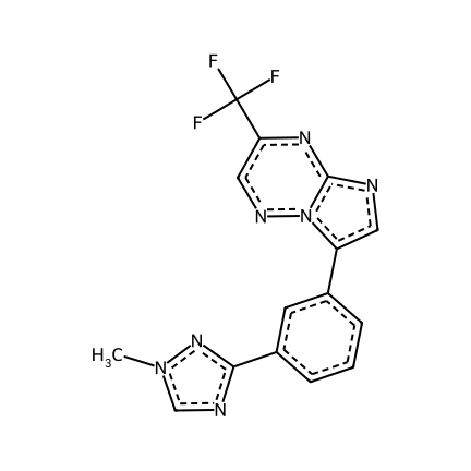 Cn1cnc(-c2cccc(-c3cnc4nc(C(F)(F)F)cnn34)c2)n1